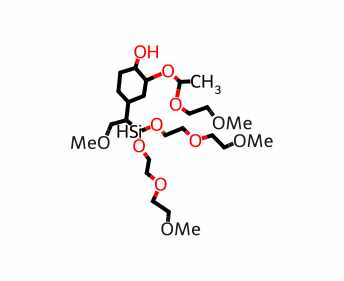 COCCOCCO[SiH](OCCOCCOC)C(COC)C1CCC(O)C(OC(C)OCCOC)C1